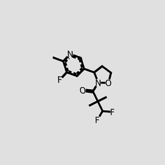 Cc1ncc(C2CCON2C(=O)C(C)(C)C(F)F)cc1F